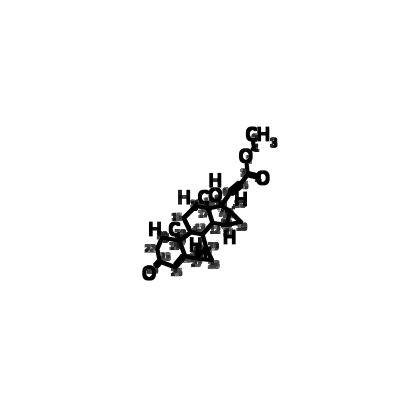 CCOC(=O)C#C[C@]1(O)[C@H]2C[C@H]2C2C3C(CC[C@@]21C)[C@@]1(C)CCC(=O)C=C1[C@@H]1C[C@H]31